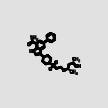 C[C@H](O)C[C@H](C)OCCS(=O)(=O)N1CCC(c2c[nH]c3c(C(N)=O)cc(-c4ccccc4)cc23)CC1